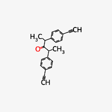 C#Cc1ccc(C(C)C(=O)C(C)c2ccc(C#C)cc2)cc1